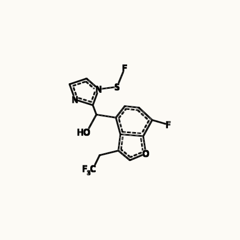 OC(c1ccc(F)c2occ(CC(F)(F)F)c12)c1nccn1SF